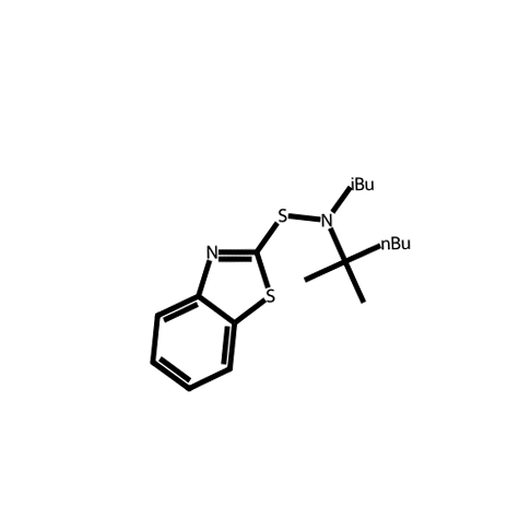 CCCCC(C)(C)N(Sc1nc2ccccc2s1)C(C)CC